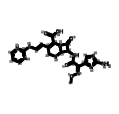 CO/N=C(\C(=O)NC1C(=O)N2C(C(=O)O)=C(/C=C/Sc3ncccn3)CSC12)c1csc(N)n1